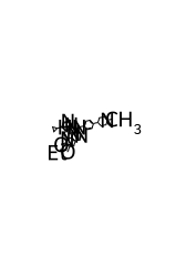 CCOc1cc2cnc(Nc3ccc(C4CCN(C)CC4)cc3)nc2n(Cc2cnncc2C2CC2)c1=O